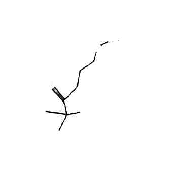 CC(C)(C)C(=O)CCCON